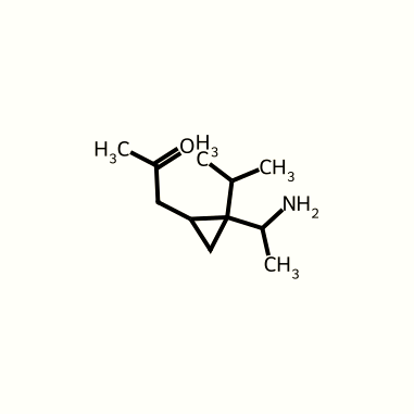 CC(=O)CC1CC1(C(C)C)C(C)N